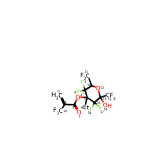 C=C(C(=O)OC1(CC)C(F)(F)C(C(F)(F)F)OC(O)(C(F)(F)F)C1(F)F)C(F)(F)F